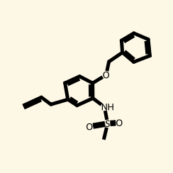 C=CCc1ccc(OCc2ccccc2)c(NS(C)(=O)=O)c1